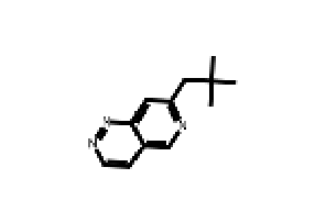 CC(C)(C)Cc1cc2nnccc2cn1